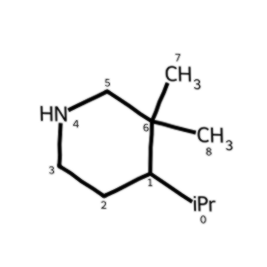 CC(C)C1CCNCC1(C)C